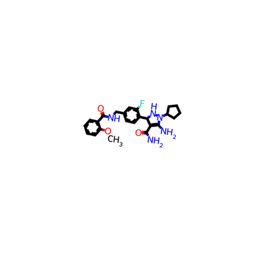 COc1ccccc1C(=O)NCc1ccc(C2NN(C3CCCC3)C(N)=C2C(N)=O)c(F)c1